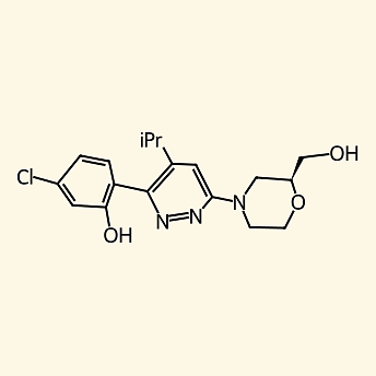 CC(C)c1cc(N2CCO[C@H](CO)C2)nnc1-c1ccc(Cl)cc1O